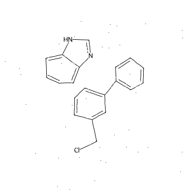 ClCc1cccc(-c2ccccc2)c1.c1ccc2[nH]cnc2c1